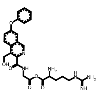 N=C(N)NCCC[C@H](N)C(=O)OC(=O)CNC(=O)c1ncc2cc(Oc3ccccc3)ccc2c1CO